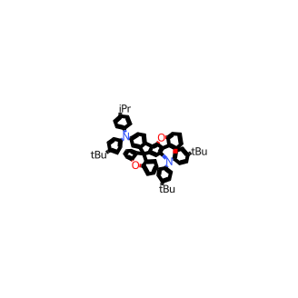 CC(C)c1ccc(N(c2ccc(C(C)(C)C)cc2)c2ccc3c(c2)C2(c4ccccc4Oc4ccccc42)c2cc(N(c4ccc(C(C)(C)C)cc4)c4ccc(C(C)(C)C)cc4)c4c(oc5ccccc54)c2-3)cc1